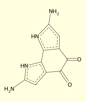 Nc1cc2c([nH]1)-c1[nH]c(N)cc1C(=O)C2=O